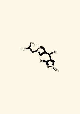 CC(C)Cn1cc(C(O)c2cn(C)nc2Br)cn1